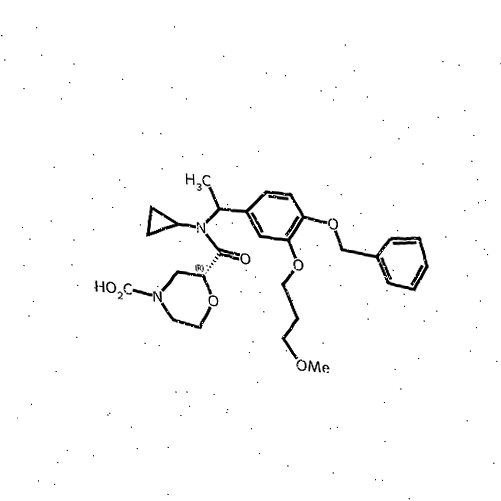 COCCCOc1cc(C(C)N(C(=O)[C@H]2CN(C(=O)O)CCO2)C2CC2)ccc1OCc1ccccc1